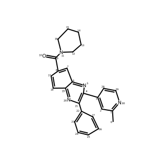 Cc1cc(-c2nc3cc(C(=O)N4CCCCC4)ccc3nc2-c2ccccc2)ccn1